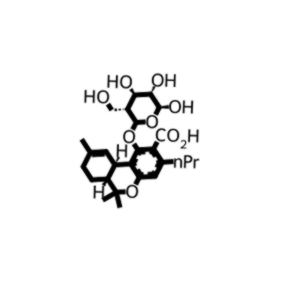 CCCc1cc2c(c(OC3O[C@H](O)[C@@H](O)[C@H](O)[C@H]3CO)c1C(=O)O)[C@@H]1C=C(C)CC[C@H]1C(C)(C)O2